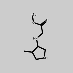 CC1CNCC1NCC(=O)OC(C)(C)C